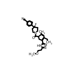 CCC1=C(c2nnc(CCOC)[nH]2)CC(C(=O)N2CCC(F)(c3ccc(C#N)cc3)CC2)C(C)=C1